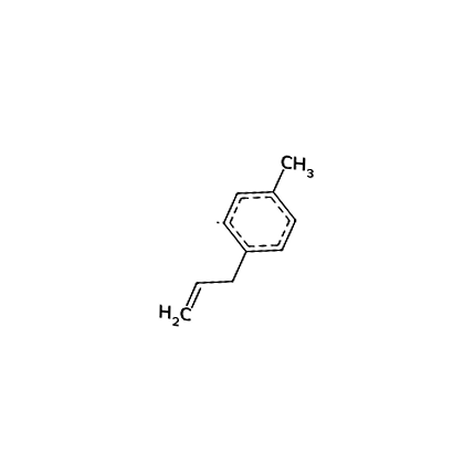 C=CCc1[c]cc(C)cc1